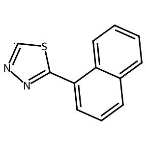 [c]1nnc(-c2cccc3ccccc23)s1